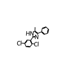 Cc1[nH]c(-c2cc(Cl)ccc2Cl)nc1-c1ccccc1